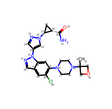 CC1(N2CCN(c3cc4c(cnn4-c4cnn([C@H]5C[C@@H]5C(N)=O)c4)cc3Cl)CC2)COC1